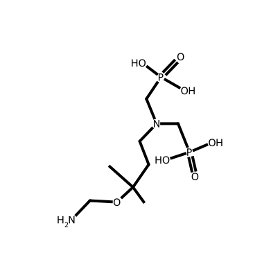 CC(C)(CCN(CP(=O)(O)O)CP(=O)(O)O)OCN